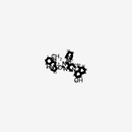 C=C1CCC[C@H]2[C@@H]1C[C@@]1(COc3nc4c(c(N5CC6CCC(C5)N6)n3)CCN(c3cc(O)cc5cccc(Cl)c35)C4)CCCN21